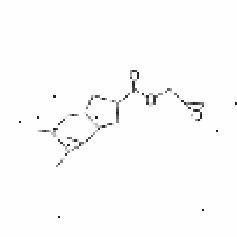 CC1C(C)C2CC1C1CC(C(=O)OCC3CO3)CC21